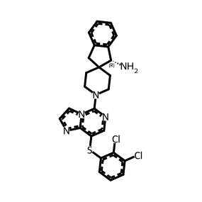 N[C@H]1c2ccccc2CC12CCN(c1ncc(Sc3cccc(Cl)c3Cl)c3nccn13)CC2